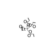 C=CC(=O)OCC(CC)(COC(=O)C=C)COC(=O)C=C.CC1CO1